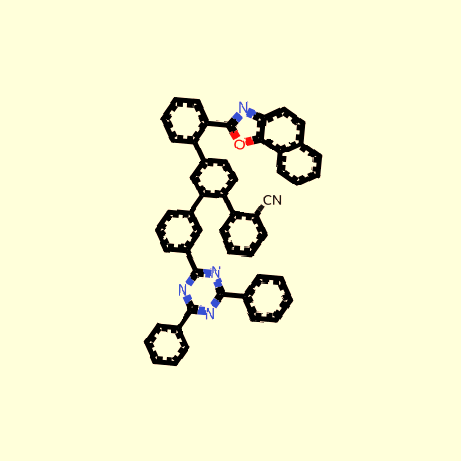 N#Cc1ccccc1-c1ccc(-c2ccccc2-c2nc3ccc4ccccc4c3o2)cc1-c1cccc(-c2nc(-c3ccccc3)nc(-c3ccccc3)n2)c1